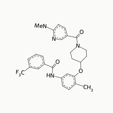 CNc1ccc(C(=O)N2CCC(Oc3cc(NC(=O)c4cccc(C(F)(F)F)c4)ccc3C)CC2)cn1